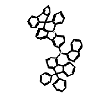 c1ccc(C2(c3ccccc3)c3ccccc3-c3c(N(c4ccc5c(c4)c4cccc6c4n5-c4ccccc4C64c5ccccc5-c5ccccc54)c4cccc5ccccc45)cccc32)cc1